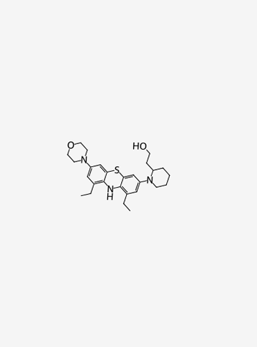 CCc1cc(N2CCOCC2)cc2c1Nc1c(CC)cc(N3CCCCC3CCO)cc1S2